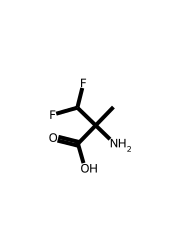 CC(N)(C(=O)O)C(F)F